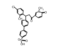 Cc1cc(Cl)ccc1C(CC(=O)c1ccc(=O)n(C)c1)c1ccc(-c2ccc(S(=O)(=O)O)cc2)cc1